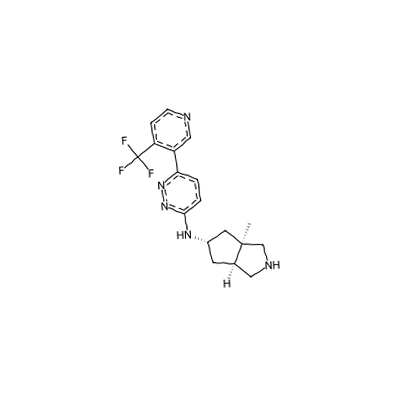 C[C@]12CNC[C@H]1C[C@H](Nc1ccc(-c3cnccc3C(F)(F)F)nn1)C2